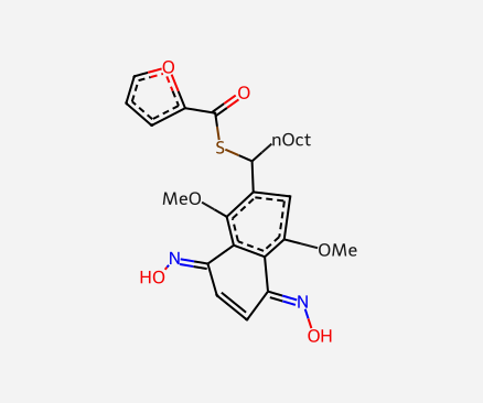 CCCCCCCCC(SC(=O)c1ccco1)c1cc(OC)c2c(c1OC)C(=NO)C=CC2=NO